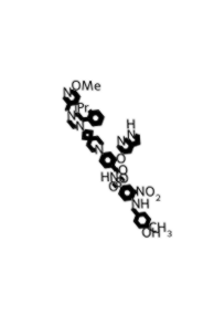 COc1ccc(CN2CCN(C3CC4(CCN(c5ccc(C(=O)NS(=O)(=O)c6ccc(NCC7CCC(C)(O)CC7)c([N+](=O)[O-])c6)c(Oc6cnc7[nH]ccc7c6)c5)CC4)C3)C(c3ccccc3C(C)C)C2)cn1